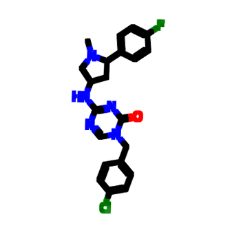 CN1CC(Nc2ncn(Cc3ccc(Cl)cc3)c(=O)n2)CC1c1ccc(F)cc1